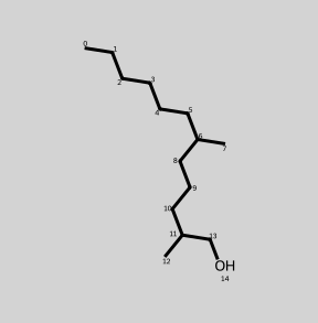 CCCCCCC(C)CCCC(C)CO